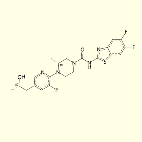 C[C@H](O)Cc1cnc(N2CCN(C(=O)Nc3nc4cc(F)c(F)cc4s3)C[C@H]2C)c(F)c1